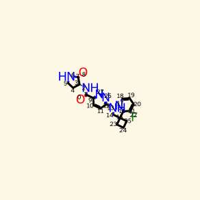 O=C(N[C@@H]1CCNC1=O)c1ccc(NCC2(c3ncccc3F)CCC2)nn1